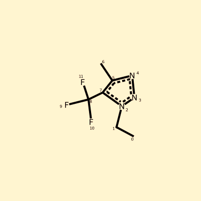 CCn1nnc(C)c1C(F)(F)F